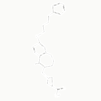 CC1=C(CN2CC(C(=O)O)C2)CCCc2cc(OCCCCc3ccccc3)ccc21